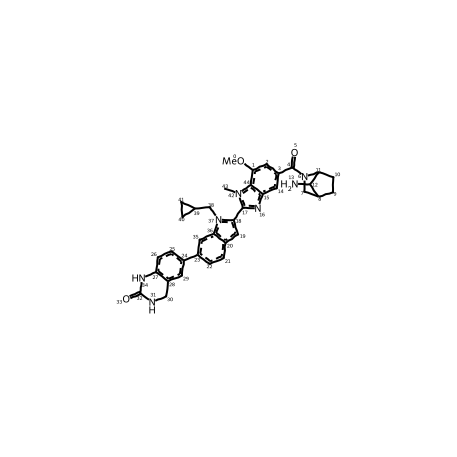 COc1cc(C(=O)N2CC3CCC2C3N)cc2nc(-c3cc4ccc(-c5ccc6c(c5)CNC(=O)N6)cc4n3CC3CC3)n(C)c12